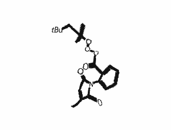 CC1=CC(=O)N(c2ccccc2C(=O)OOOC(C)(C)CC(C)(C)C)C1=O